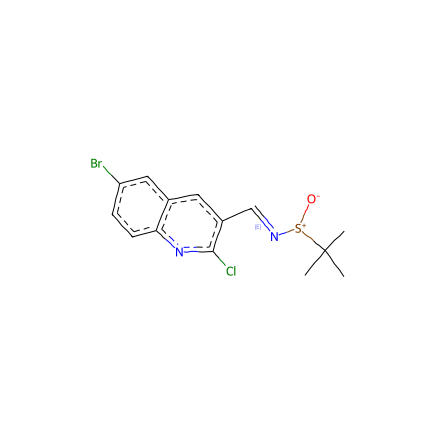 CC(C)(C)[S+]([O-])/N=C/c1cc2cc(Br)ccc2nc1Cl